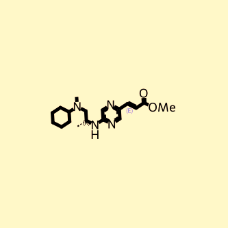 COC(=O)/C=C/c1cnc(N[C@H](C)CN(C)C2CCCCC2)cn1